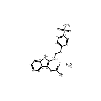 NS(=O)(=O)c1ccc(CCNc2[nH]c3ccccc3c2CC(=O)O)cc1.O